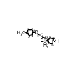 Cc1ccc(OCOC(=O)OC2(C)CCNCC2)cc1